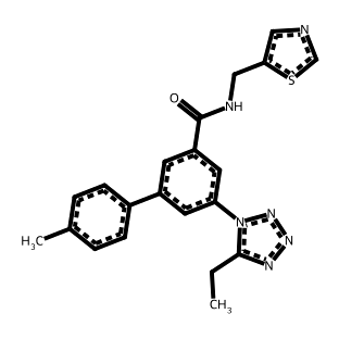 CCc1nnnn1-c1cc(C(=O)NCc2cncs2)cc(-c2ccc(C)cc2)c1